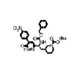 CC(C)(C)OC(=O)N1CCCC(C[C@H](NC(=O)OCc2ccccc2)c2cc(-c3ccc([N+](=O)[O-])cc3)c(=O)[nH]n2)C1